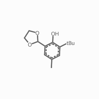 Cc1cc(C2OCCO2)c(O)c(C(C)(C)C)c1